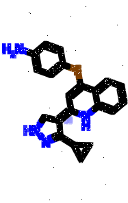 Nc1ccc(SC2=C/C(=C3\CNN=C3C3CC3)Nc3ccccc32)cc1